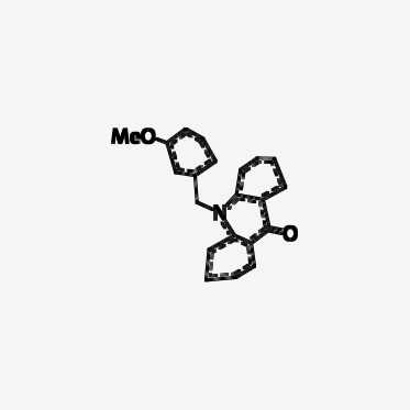 COc1cccc(Cn2c3ccccc3c(=O)c3ccccc32)c1